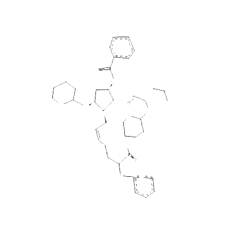 CCCC[C@H](C)C[C@@H](/C=C/[C@@H]1[C@@H](C/C=C\CCC([Se]c2ccccc2)C(=O)OC)[C@@H](OC2CCCCO2)C[C@H]1OC(=O)c1ccccc1)OC1CCCCO1